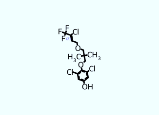 CC(C)(COC/C=C(\Cl)C(F)(F)F)COc1c(Cl)cc(O)cc1Cl